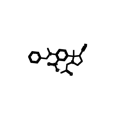 CC(=O)CN1CCC(C#N)C1(C)c1ccc(N(C)Cc2ccccc2)c([N+](=O)[O-])c1